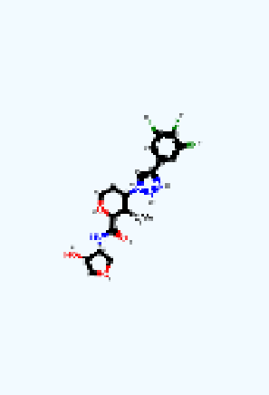 COC1C(C(=O)N[C@@H]2COC[C@H]2O)OCCC1n1cc(-c2cc(F)c(F)c(F)c2)nn1